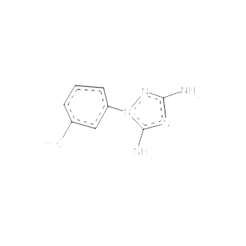 Cc1cccc(-n2nc(N)nc2N)c1